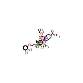 CCOC(=O)C1=C(c2ccc(OCCOc3cccc(Cl)c3Cl)cc2)CC2CN(C(C)=O)CC1N2C(=O)OC(C)(C)C(Cl)(Cl)Cl